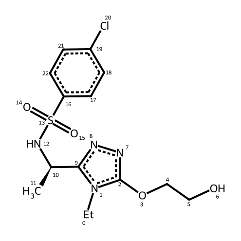 CCn1c(OCCO)nnc1[C@@H](C)NS(=O)(=O)c1ccc(Cl)cc1